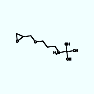 OC(O)(O)[SiH2]CCCOCC1CO1